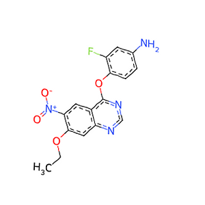 CCOc1cc2ncnc(Oc3ccc(N)cc3F)c2cc1[N+](=O)[O-]